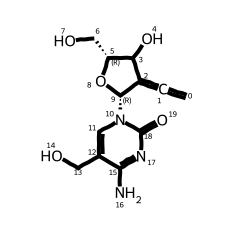 C=C=C1C(O)[C@@H](CO)O[C@H]1n1cc(CO)c(N)nc1=O